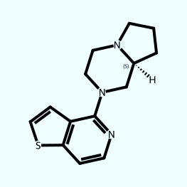 c1cc2sccc2c(N2CCN3CCC[C@H]3C2)n1